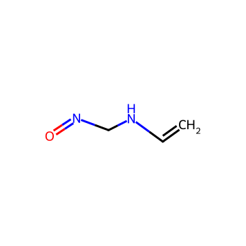 C=CNCN=O